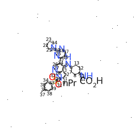 CCCc1cc2c(N[C@H]3CC[C@H](NC(=O)O)CC3)c(-c3ccnc(N4CCCC4)n3)cnc2n1S(=O)(=O)c1ccc(C)cc1